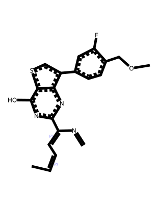 C=N/C(=C\C=C/C)c1nc(O)c2scc(-c3ccc(COC)c(F)c3)c2n1